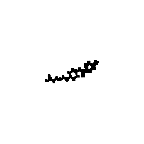 CN(C)C/C=C/CO[C@H]1CC[C@H](CNc2ncc(Br)cn2)CC1